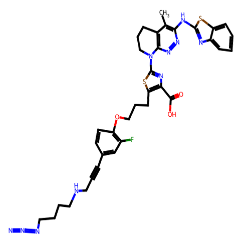 Cc1c(Nc2nc3ccccc3s2)nnc2c1CCCN2c1nc(C(=O)O)c(CCCOc2ccc(C#CCNCCCCN=[N+]=[N-])cc2F)s1